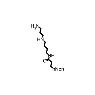 CCCCCCCCCCCC(=O)NCCCCNCCCN